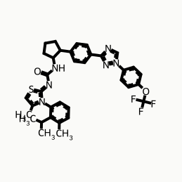 Cc1cccc(-n2c(C)cs/c2=N\C(=O)NC2CCCC2c2ccc(-c3ncn(-c4ccc(OC(F)(F)F)cc4)n3)cc2)c1C(C)C